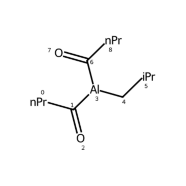 CCC[C](=O)[Al]([CH2]C(C)C)[C](=O)CCC